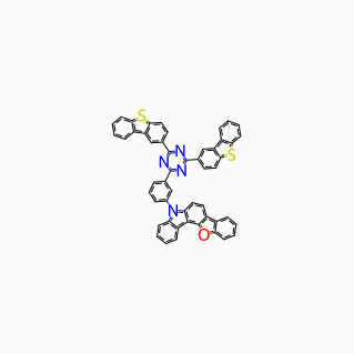 c1cc(-c2nc(-c3ccc4sc5ccccc5c4c3)nc(-c3ccc4sc5ccccc5c4c3)n2)cc(-n2c3ccccc3c3c4oc5ccccc5c4ccc32)c1